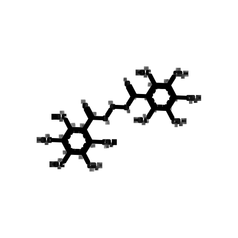 O=C(O)c1c(C(=O)O)c(C(=O)O)c(C(=O)OOOC(=O)c2c(C(=O)O)c(C(=O)O)c(C(=O)O)c(C(=O)O)c2C(=O)O)c(C(=O)O)c1C(=O)O